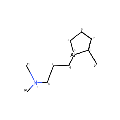 C[CH]1CC[CH2][Al]1[CH2]CCN(C)C